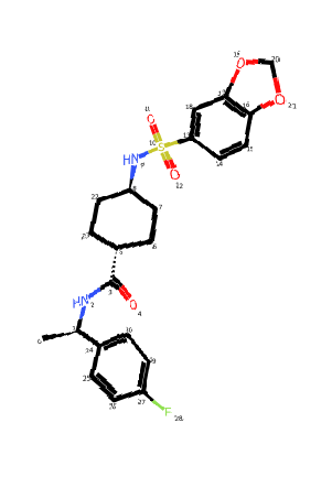 C[C@@H](NC(=O)[C@H]1CC[C@H](NS(=O)(=O)c2ccc3c(c2)OCO3)CC1)c1ccc(F)cc1